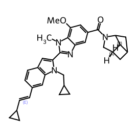 COc1cc(C(=O)N2C[C@H]3CC4CC2[C@H]43)cc2nc(-c3cc4ccc(/C=C/C5CC5)cc4n3CC3CC3)n(C)c12